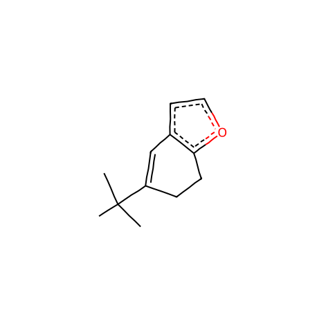 CC(C)(C)C1=Cc2ccoc2CC1